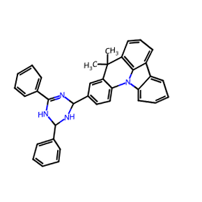 CC1(C)c2cc(C3N=C(c4ccccc4)NC(c4ccccc4)N3)ccc2-n2c3ccccc3c3cccc1c32